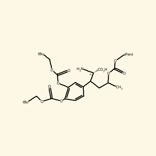 CCCC(C)OC(=O)OC(C)CC(c1ccc(OC(=O)OCC(C)(C)C)c(OC(=O)OCC(C)(C)C)c1)[C@H](N)C(=O)O